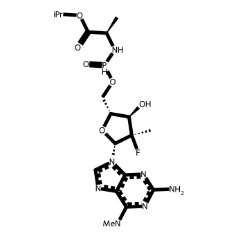 CNc1nc(N)nc2c1ncn2[C@@H]1O[C@H](CO[PH](=O)N[C@H](C)C(=O)OC(C)C)[C@@H](O)[C@@]1(C)F